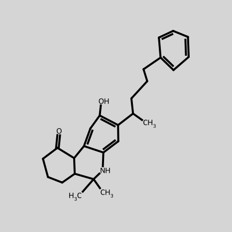 CC(CCCc1ccccc1)c1cc2c(cc1O)C1C(=O)CCCC1C(C)(C)N2